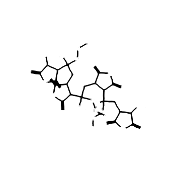 CC1C(=O)OC(=O)C1CC(C)(PBI)C1C(=O)OC(=O)C1CC(C)(PBI)C1C(=O)OC(=O)C1CC(C)(PBI)C1C(=O)OC(=O)C1C